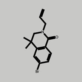 C=CCN1CC(C)(C)c2cc(Br)ccc2C1=O